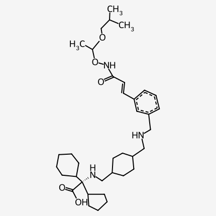 CC(C)COC(C)ONC(=O)C=Cc1cccc(CNCC2CCC(CN[C@](C(=O)O)(C3CCCCC3)C3CCCC3)CC2)c1